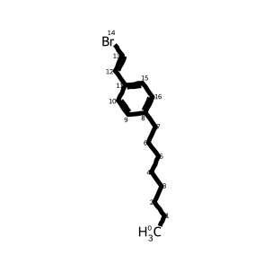 CCCCCCCCc1ccc(C=CBr)cc1